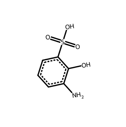 Nc1cccc(S(=O)(=O)O)c1O